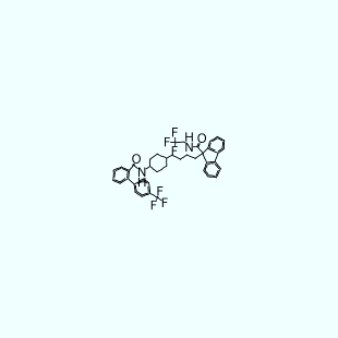 O=C(NC1CCC(CCCCC2(C(=O)NCC(F)(F)F)c3ccccc3-c3ccccc32)CC1)c1ccccc1-c1ccc(C(F)(F)F)cc1